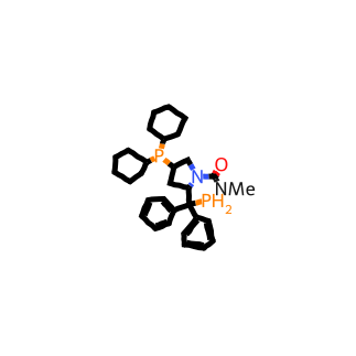 CNC(=O)N1CC(P(C2CCCCC2)C2CCCCC2)CC1C(P)(c1ccccc1)c1ccccc1